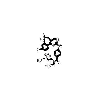 CCN(CCN(C)C)C(=O)c1ccc(Nc2ncc3c(n2)-c2ccc(Cl)cc2NC(=O)C3)cc1